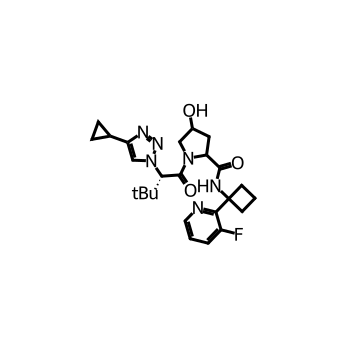 CC(C)(C)[C@@H](C(=O)N1CC(O)CC1C(=O)NC1(c2ncccc2F)CCC1)n1cc(C2CC2)nn1